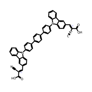 [C-]#[N+]/C(=C\c1ccc2c(c1)c1ccccc1n2-c1ccc(-c2ccc(-c3ccc(-n4c5ccccc5c5cc(/C=C(\C#N)C(=O)O)ccc54)cc3)cc2)cc1)C(=O)O